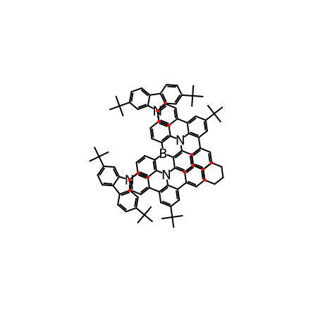 CC(C)(C)c1cc(-c2ccccc2)c(N2c3cc(-n4c5cc(C(C)(C)C)ccc5c5ccc(C(C)(C)C)cc54)ccc3B3c4ccc(-n5c6cc(C(C)(C)C)ccc6c6ccc(C(C)(C)C)cc65)cc4N(c4c(-c5ccccc5)cc(C(C)(C)C)cc4-c4ccccc4)c4cc(C5CCCCC5)cc2c43)c(-c2ccccc2)c1